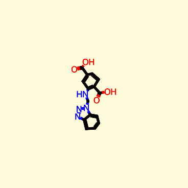 O=C(O)c1ccc(C(=O)O)c(NCn2nnc3ccccc32)c1